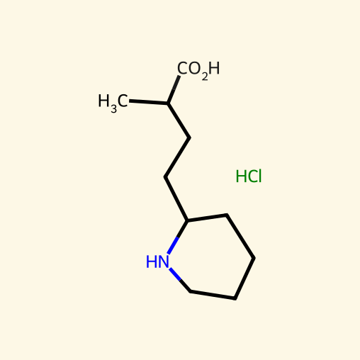 CC(CCC1CCCCN1)C(=O)O.Cl